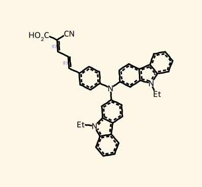 CCn1c2ccccc2c2ccc(N(c3ccc(/C=C/C=C(\C#N)C(=O)O)cc3)c3ccc4c5ccccc5n(CC)c4c3)cc21